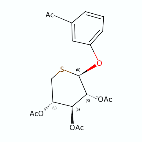 CC(=O)O[C@@H]1[C@@H](OC(C)=O)[C@H](OC(C)=O)CS[C@H]1Oc1cccc(C(C)=O)c1